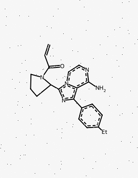 C=CC(=O)N1CCCC1c1nc(-c2ccc(CC)cc2)c2c(N)nccn12